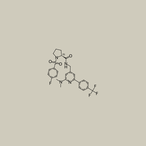 CN(C)c1cc(CNC(=O)[C@@H]2CCCN2S(=O)(=O)c2ccc(F)cc2)cc(-c2ccc(C(F)(F)F)cc2)n1